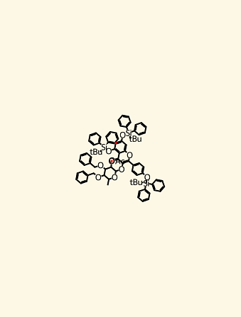 CC(=O)OC1C(Oc2c(-c3ccc(O[Si](c4ccccc4)(c4ccccc4)C(C)(C)C)cc3)oc3cc(O[Si](c4ccccc4)(c4ccccc4)C(C)(C)C)cc(O[Si](c4ccccc4)(c4ccccc4)C(C)(C)C)c3c2=O)OC(C)C(OCc2ccccc2)C1OCc1ccccc1